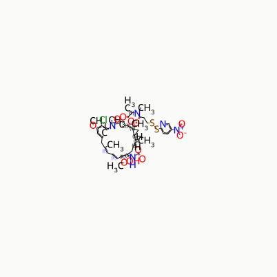 COc1cc2cc(c1Cl)N(C)C(=O)C[C@H](OC(=O)[C@H](C)N(C)C(=O)CCSSc1ccc([N+](=O)[O-])cn1)[C@@]1(C)C[C@H]1[C@H](C)[C@@H]1C[C@@](O)(NC(=O)O1)[C@H](OC)/C=C/C=C(\C)C2